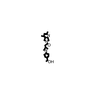 Cc1cc(C)c2c(n1)CN(C(=O)CC1CN(c3ccc(C(C)O)cc3)C1)C2